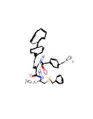 O=C(NC(CSCc1ccccc1)C(=O)O)C(=Cc1ccc(-c2ccccc2)cc1)NC(=O)c1ccc(C(F)(F)F)cc1